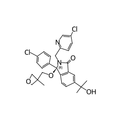 CC1(CO[C@]2(c3ccc(Cl)cc3)c3ccc(C(C)(C)O)cc3C(=O)N2Cc2ccc(Cl)cn2)COC1